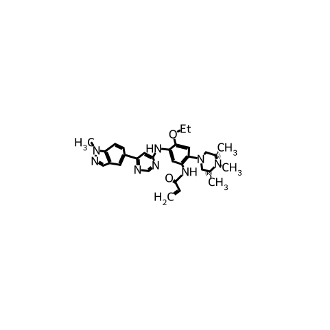 C=CC(=O)Nc1cc(Nc2cc(-c3ccc4c(cnn4C)c3)ncn2)c(OCC)cc1N1C[C@@H](C)N(C)[C@@H](C)C1